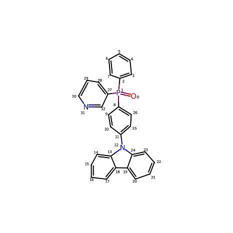 O=P(c1ccccc1)(c1ccc(-n2c3ccccc3c3ccccc32)cc1)c1cccnc1